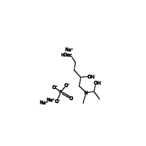 CCCCCCCCCCCCC(O)CN(C)C(C)O.O=P([O-])([O-])[O-].[Na+].[Na+].[Na+]